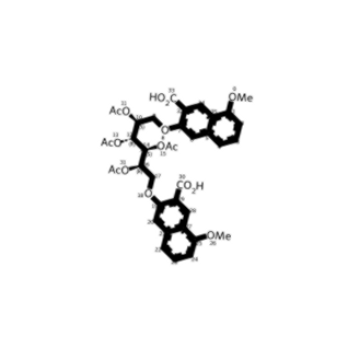 COc1cccc2cc(OC[C@H](OC(C)=O)[C@@H](OC(C)=O)[C@@H](OC(C)=O)[C@@H](COc3cc4cccc(OC)c4cc3C(=O)O)OC(C)=O)c(C(=O)O)cc12